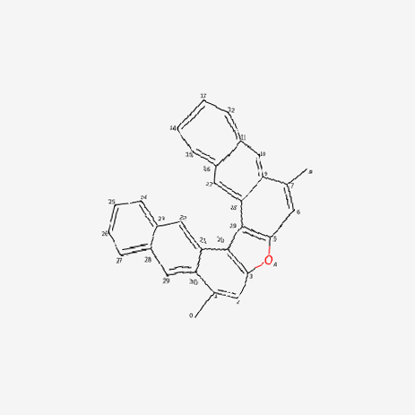 Cc1cc2oc3cc(C)c4cc5ccccc5cc4c3c2c2cc3ccccc3cc12